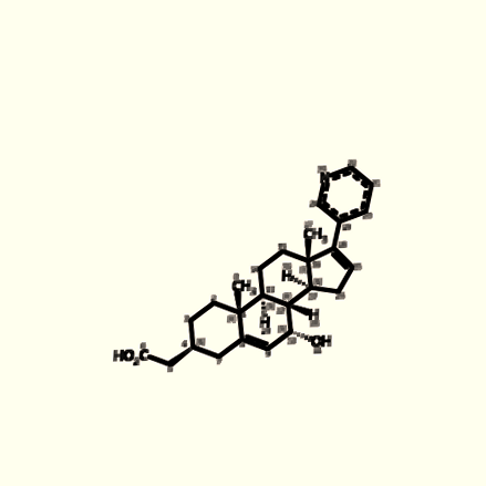 C[C@]12CC[C@H](CC(=O)O)CC1=C[C@@H](O)[C@@H]1[C@@H]2CC[C@]2(C)C(c3cccnc3)=CC[C@@H]12